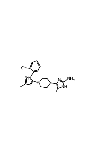 Cc1cc(N2CCC(c3nc(N)[nH]c3C)CC2)n(-c2ccccc2Cl)n1